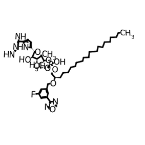 CCCCCCCCCCCCCCCCCCC[C@H](COP(=O)(O)O[C@@H](C)[C@@]1(C)O[C@@H](c2ccc(/C(N)=N\C=N)[nH]2)[C@H](O)[C@@H]1O)OCc1cc(F)cc(-c2ncon2)c1